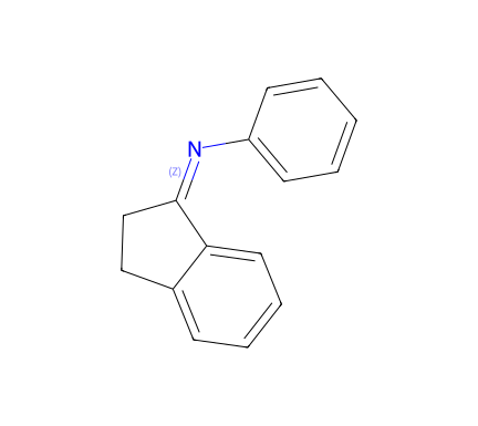 c1ccc(/N=C2/CCc3ccccc32)cc1